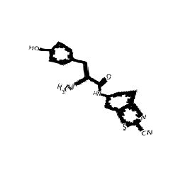 N#Cc1nc2ccc(NC(=O)C(N)Cc3ccc(O)cc3)cc2s1